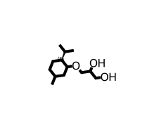 CC1CC[C@@H](C(C)C)C(OCC(O)CO)C1